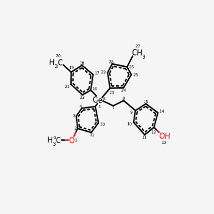 COc1cc[c]([Ge]([CH2]Cc2ccc(O)cc2)([c]2ccc(C)cc2)[c]2ccc(C)cc2)cc1